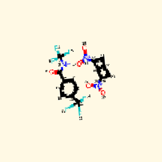 O=C(NC(F)(F)F)c1ccc(C(F)(F)F)cc1.O=[N+]([O-])c1cc2cc([N+](=O)[O-])c1-2